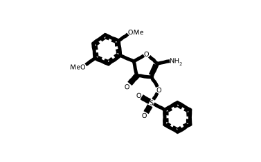 COc1ccc(OC)c(C2OC(N)=C(OS(=O)(=O)c3ccccc3)C2=O)c1